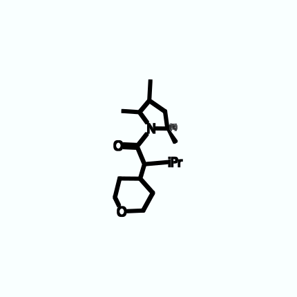 CC(C)C(C(=O)N1C(C)C(C)C[C@H]1C)C1CCOCC1